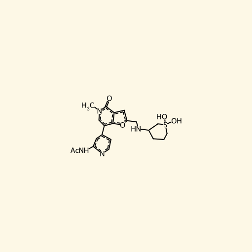 CC(=O)Nc1cc(-c2cn(C)c(=O)c3cc(CNC4CCCS(O)(O)C4)oc23)ccn1